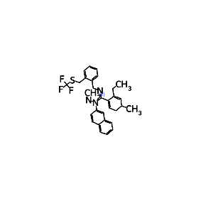 C=NN(/C(=N\Cc1ccccc1CSC(F)(F)F)C1=CCC(C)C=C1CC)c1ccc2ccccc2c1